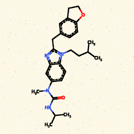 CC(C)CCn1c(Cc2ccc3c(c2)CCO3)nc2cc(N(C)C(=O)NC(C)C)ccc21